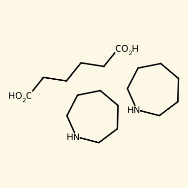 C1CCCNCC1.C1CCCNCC1.O=C(O)CCCCC(=O)O